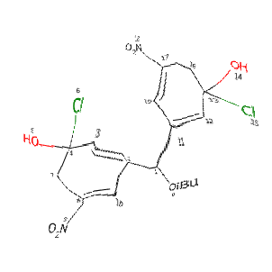 CC(C)COC(C1=CC(O)(Cl)CC([N+](=O)[O-])=C1)C1=CC(O)(Cl)CC([N+](=O)[O-])=C1